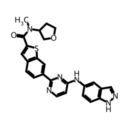 CN(C(=O)c1cc2ccc(-c3nccc(Nc4ccc5[nH]ncc5c4)n3)cc2s1)C1CCOC1